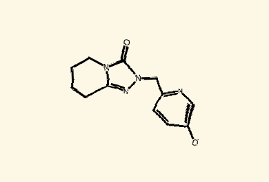 O=c1n(Cc2ccc(Cl)cn2)nc2n1CCCC2